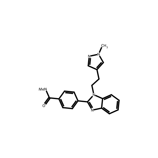 CNC(=O)c1ccc(-c2nc3ccccc3n2CCc2cnn(C)c2)cc1